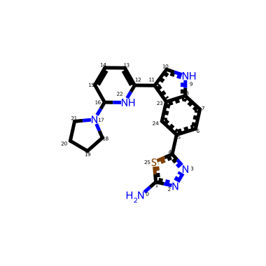 Nc1nnc(-c2ccc3[nH]cc(C4=CC=CC(N5CCCC5)N4)c3c2)s1